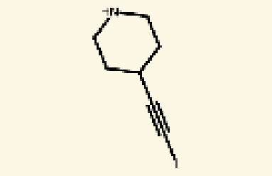 IC#CC1CCNCC1